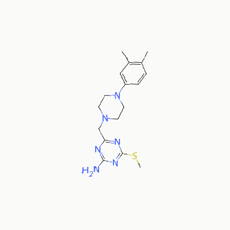 CSc1nc(N)nc(CN2CCN(c3ccc(C)c(C)c3)CC2)n1